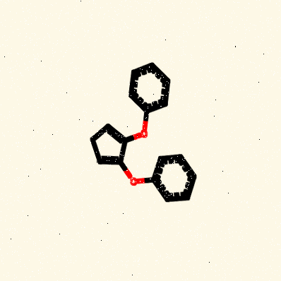 [C]1=C(Oc2ccccc2)C(Oc2ccccc2)=CC1